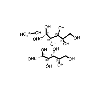 O=C[C@H](O)[C@@H](O)[C@@H](O)[C@H](O)CO.O=C[C@H](O)[C@@H](O)[C@H](O)[C@H](O)CO.O=S(=O)(O)O